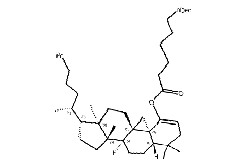 CCCCCCCCCCCCCCCC(=O)OC1=CCC(C)(C)[C@@H]2CC[C@@H]3[C@]4(CC[C@]5(C)[C@@H]([C@H](C)CCCC(C)C)CC[C@@]35C)C[C@]124